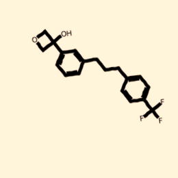 OC1(c2cccc(CCCc3ccc(C(F)(F)F)cc3)c2)COC1